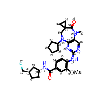 COc1cc(C(=O)N[C@@H]2CC[C@@H](CF)C2)ccc1Nc1ncc2c(n1)N(C1CCCC1)CC1(CC1)C(=O)N2C